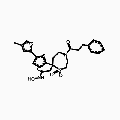 Cc1csc(-c2ccc(C3(CC(=O)NO)CCN(C(=O)CCc4ccccc4)CCS3(=O)=O)s2)c1